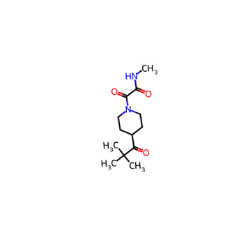 CNC(=O)C(=O)N1CCC(C(=O)C(C)(C)C)CC1